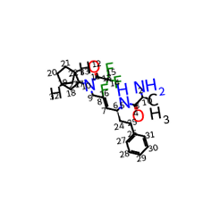 C[C@H](N)C(=O)N[C@H](/C=C/CN(C(=O)C(F)(F)F)C1C[C@H]2CC[C@H]1C2)CCc1ccccc1